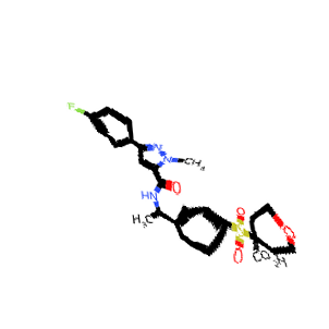 CC(NC(=O)c1cc(-c2ccc(F)cc2)nn1C)c1ccc(S(=O)(=O)C2(C(=O)O)CCOCC2)cc1